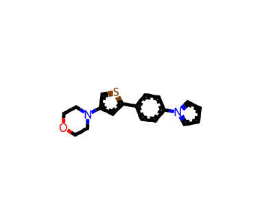 c1ccn(-c2ccc(-c3cc(N4CCOCC4)cs3)cc2)c1